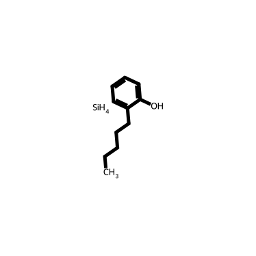 CCCCCc1ccccc1O.[SiH4]